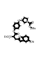 CCOC(=O)C(Cc1cc2cc(C#N)ccc2s1)C(=O)Oc1ccc(S[C@H]2CCN(C(=O)OC(C)(C)C)C2)cc1